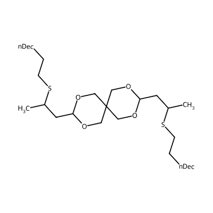 CCCCCCCCCCCCSC(C)CC1OCC2(CO1)COC(CC(C)SCCCCCCCCCCCC)OC2